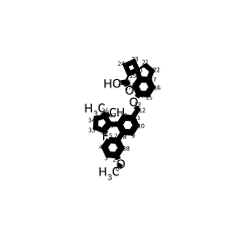 COc1ccc(F)c(-c2ccc(COc3ccc4c(c3)[C@@]3(CC4)CC[C@@H]3C(=O)O)cc2C2=CCCC2(C)C)c1